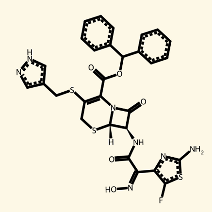 Nc1nc(/C(=N/O)C(=O)N[C@@H]2C(=O)N3C(C(=O)OC(c4ccccc4)c4ccccc4)=C(SCc4cn[nH]c4)CS[C@@H]23)c(F)s1